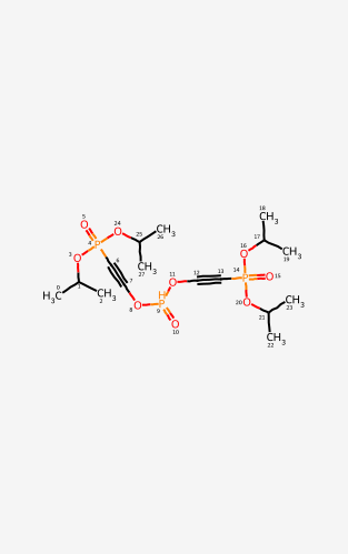 CC(C)OP(=O)(C#CO[PH](=O)OC#CP(=O)(OC(C)C)OC(C)C)OC(C)C